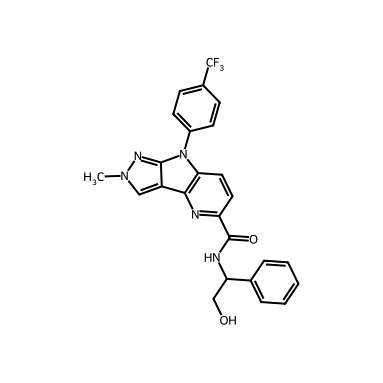 Cn1cc2c3nc(C(=O)NC(CO)c4ccccc4)ccc3n(-c3ccc(C(F)(F)F)cc3)c2n1